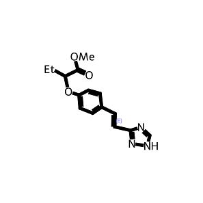 CCC(Oc1ccc(/C=C/c2nc[nH]n2)cc1)C(=O)OC